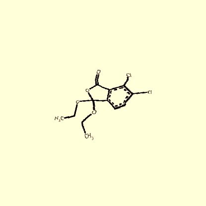 CCOC1(OCC)OC(=O)c2c1ccc(Cl)c2Cl